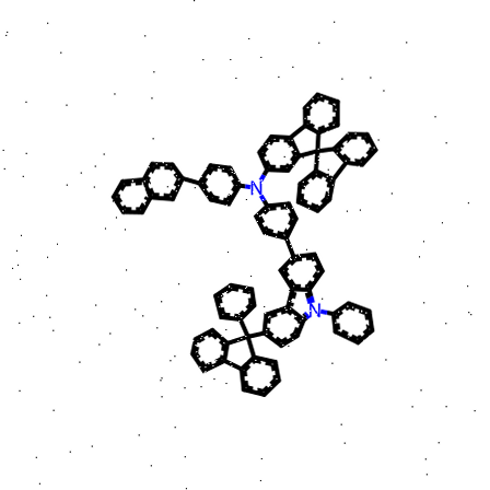 c1ccc(-n2c3ccc(-c4ccc(N(c5ccc(-c6ccc7ccccc7c6)cc5)c5ccc6c(c5)C5(c7ccccc7-c7ccccc75)c5ccccc5-6)cc4)cc3c3cc(C4(c5ccccc5)c5ccccc5-c5ccccc54)ccc32)cc1